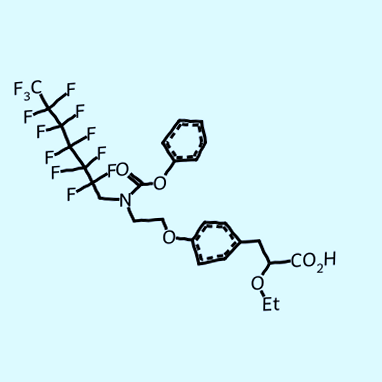 CCOC(Cc1ccc(OCCN(CC(F)(F)C(F)(F)C(F)(F)C(F)(F)C(F)(F)C(F)(F)F)C(=O)Oc2ccccc2)cc1)C(=O)O